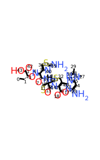 CC[C@@H](O/N=C(\C(=O)NC1(C=S)C(=O)N2C(C(=O)[O-])=C(c3nc(N)cc4n(C)c(C)n[n+]34)CS[C@H]21)c1csc(N)n1)C(=O)O